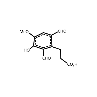 COc1cc(C=O)c(CCC(=O)O)c(C=O)c1O